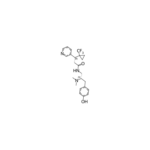 CN(C)[C@H](CNC(=O)C[C@H](c1cccnc1)C1(C(F)(F)F)CC1)Cc1ccc(O)cc1